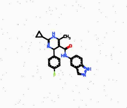 CC1=C(C(=O)Nc2ccc3[nH]ncc3c2)C(c2ccc(F)cc2)N=C(C2CC2)N1